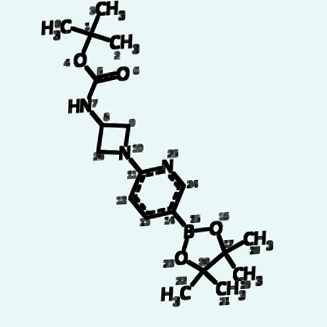 CC(C)(C)OC(=O)NC1CN(c2ccc(B3OC(C)(C)C(C)(C)O3)cn2)C1